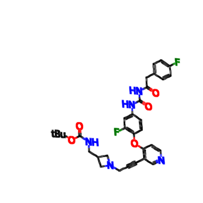 CC(C)(C)OC(=O)NCC1CN(CC#Cc2cnccc2Oc2ccc(NC(=O)NC(=O)Cc3ccc(F)cc3)cc2F)C1